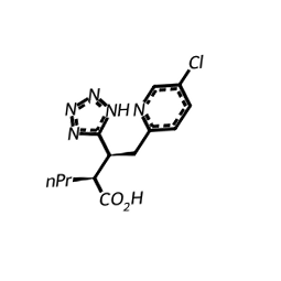 CCC[C@H](C(=O)O)[C@H](Cc1ccc(Cl)cn1)c1nnn[nH]1